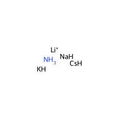 N.[CsH].[KH].[Li+].[NaH]